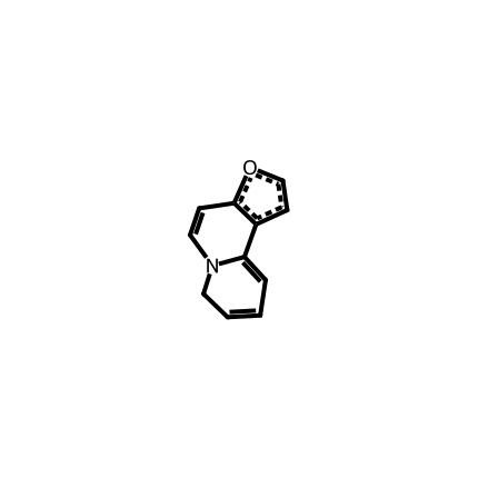 C1=CCN2C=Cc3occc3C2=C1